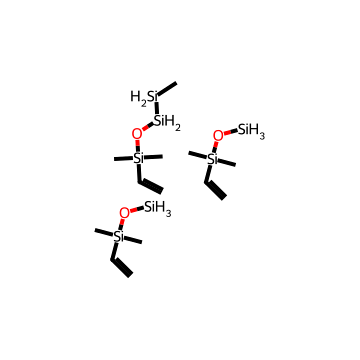 C=C[Si](C)(C)O[SiH2][SiH2]C.C=C[Si](C)(C)O[SiH3].C=C[Si](C)(C)O[SiH3]